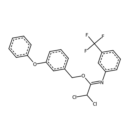 FC(F)(F)c1cccc(N=C(OCc2cccc(Oc3ccccc3)c2)C(Cl)Cl)c1